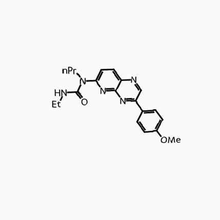 CCCN(C(=O)NCC)c1ccc2ncc(-c3ccc(OC)cc3)nc2n1